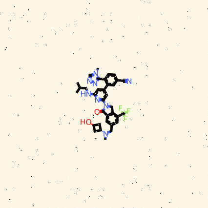 CC(C)CNc1cc(-c2cc(C#N)ccc2-c2nncn2C)cc(N2Cc3c(cc(CN(C)[C@H]4C[C@H](O)C4)cc3C(F)(F)F)C2=O)n1